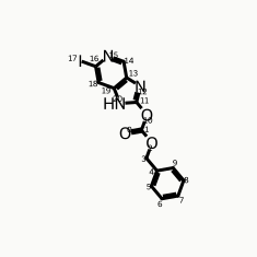 O=C(OCc1ccccc1)Oc1nc2cnc(I)cc2[nH]1